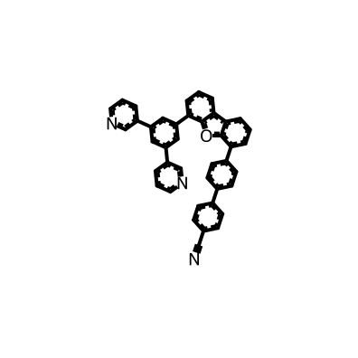 N#Cc1ccc(-c2ccc(-c3cccc4c3oc3c(-c5cc(-c6cccnc6)cc(-c6cccnc6)c5)cccc34)cc2)cc1